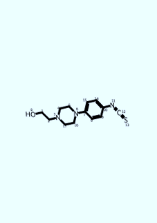 OCCN1CCN(c2ccc(N=C=S)cc2)CC1